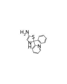 NC1=CNC(c2ccccc2)(c2ccccn2)S1